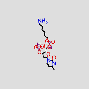 Cc1ccn([C@H]2C[C@H](O[PH](=O)O)[C@@H](CO[PH](=O)OCCCCCCN)O2)c(=O)n1